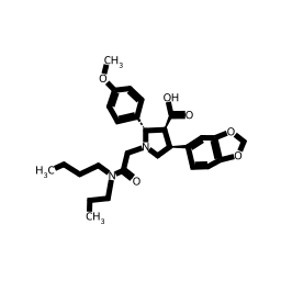 CCCCN(CCC)C(=O)CN1C[C@H](c2ccc3c(c2)OCO3)[C@H](C(=O)O)[C@H]1c1ccc(OC)cc1